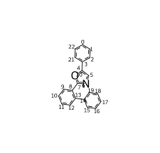 c1ccc(-c2cnc(-c3ccccc3-c3ccccc3)o2)cc1